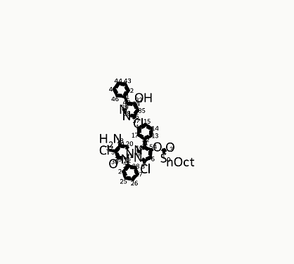 CCCCCCCCSC(=O)Oc1cc(Cl)nnc1-c1ccccc1.Nc1cnn(-c2ccccc2)c(=O)c1Cl.Oc1cc(Cl)nnc1-c1ccccc1